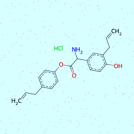 C=CCc1ccc(OC(=O)C(N)c2ccc(O)c(CC=C)c2)cc1.Cl